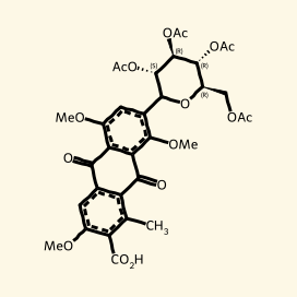 COc1cc2c(c(C)c1C(=O)O)C(=O)c1c(OC)c(C3O[C@H](COC(C)=O)[C@@H](OC(C)=O)[C@H](OC(C)=O)[C@H]3OC(C)=O)cc(OC)c1C2=O